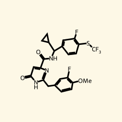 COc1ccc(Cc2nc(C(=O)NC(c3ccc(SC(F)(F)F)c(F)c3)C3CC3)cc(=O)[nH]2)cc1F